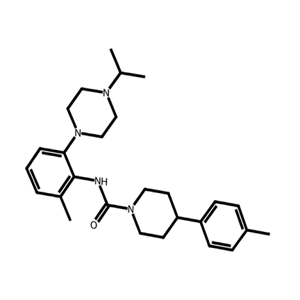 Cc1ccc(C2CCN(C(=O)Nc3c(C)cccc3N3CCN(C(C)C)CC3)CC2)cc1